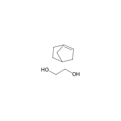 C1=C2CCC(C1)C2.OCCO